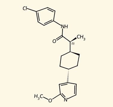 COc1cc([C@H]2CC[C@H]([C@H](C)C(=O)Nc3ccc(Cl)cc3)CC2)ccn1